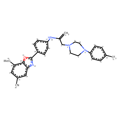 C=C(CN1CCN(c2ccc(C(F)(F)F)cc2)CC1)Nc1ccc(-c2nc3cc(C#N)cc(OC)c3o2)cc1